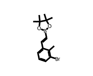 Cc1c(Br)cccc1C=CB1OC(C)(C)C(C)(C)O1